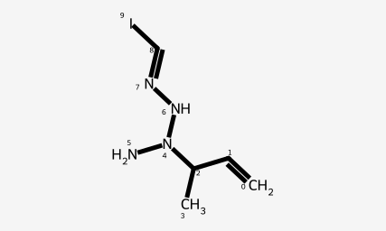 C=CC(C)N(N)N/N=C/I